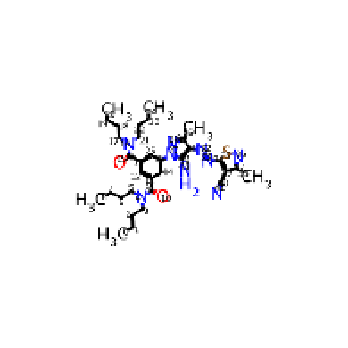 CCCCN(CCCC)C(=O)c1cc(C(=O)N(CCCC)CCCC)cc(-n2nc(C)c(N=Nc3snc(C)c3C#N)c2N)c1